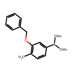 COB(OC)c1ccc(C)c(OCc2ccccc2)c1